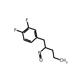 CCCC(Cc1ccc(F)c(F)c1)N=O